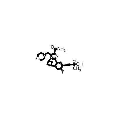 CCC(C)(O)C#Cc1cc2c(cc1F)C1CC(C1)n1c-2nc(C(N)=O)c1CN1CCOCC1